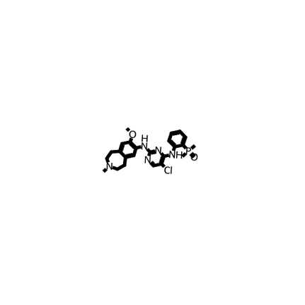 COc1cc2c(cc1Nc1ncc(Cl)c(Nc3ccccc3P(C)(C)=O)n1)CCN(C)CC2